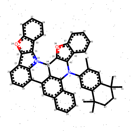 Cc1cc2c(cc1N1c3c4c(cc5ccccc35)-c3cccc5c6oc7ccccc7c6n(c35)B4c3oc4ccccc4c31)C(C)(C)CCC2(C)C